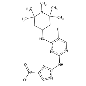 CN1C(C)(C)CC(Nc2nc(Nc3ncc([N+](=O)[O-])s3)ncc2F)CC1(C)C